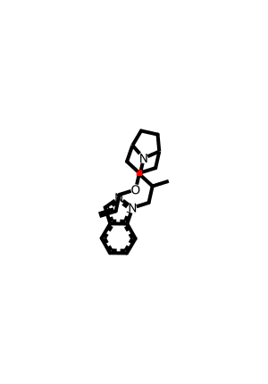 C=CCOC1CC2CCC(C1)N2CC(C)Cn1ncc2ccccc21